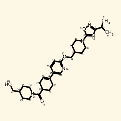 CC(C)c1noc(N2CCC(COc3ccc(C4=CCC(C(=O)N5CCC(CO)CC5)CC4)cn3)CC2)n1